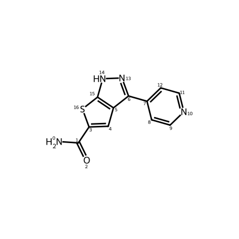 NC(=O)c1cc2c(-c3ccncc3)n[nH]c2s1